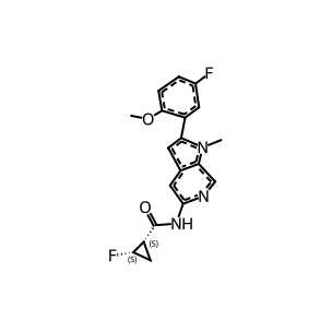 COc1ccc(F)cc1-c1cc2cc(NC(=O)[C@@H]3C[C@@H]3F)ncc2n1C